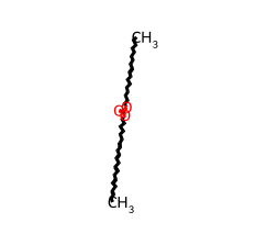 CCC=CCC=CCC=CCC=CCC=CCCCCCCOC(=O)OCCCCCCCCC=CCCCCCCCC